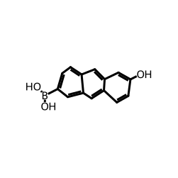 OB(O)c1ccc2cc3cc(O)ccc3cc2c1